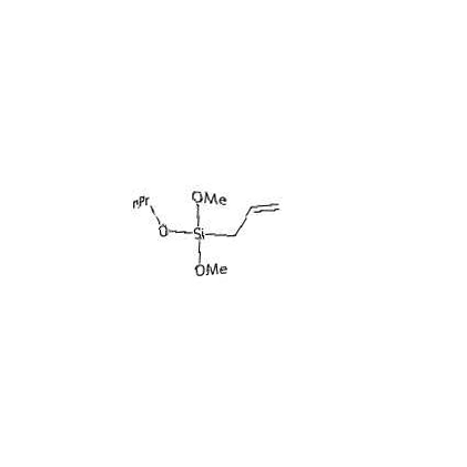 C=CC[Si](OC)(OC)OCCC